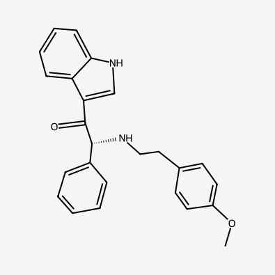 COc1ccc(CCN[C@@H](C(=O)c2c[nH]c3ccccc23)c2ccccc2)cc1